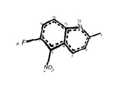 Cc1ccc2c([N+](=O)[O-])c(F)ccc2n1